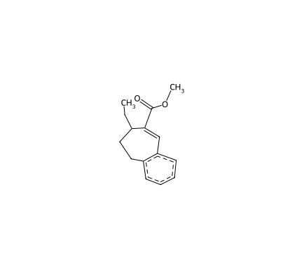 CCC1CCc2ccccc2C=C1C(=O)OC